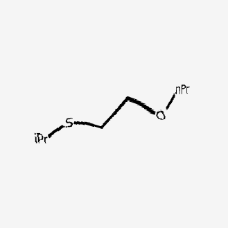 CCCOCCSC(C)C